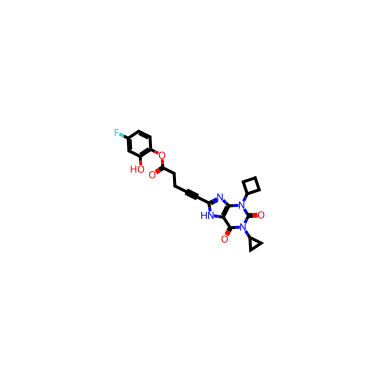 O=C(CCC#Cc1nc2c([nH]1)c(=O)n(C1CC1)c(=O)n2C1CCC1)Oc1ccc(F)cc1O